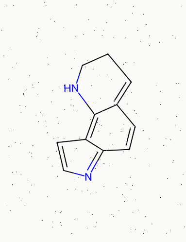 C1=Cc2c3c(ccc2=N1)=CCCN3